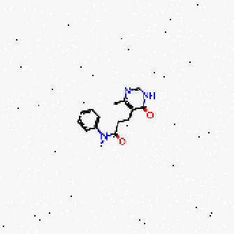 Cc1nc[nH]c(=O)c1CCC(=O)N(C)c1ccccc1